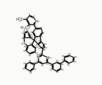 Cc1ccnc(-c2ccc3c(c2)C2(c4ccccc4Sc4ccccc42)c2cc(-c4nc(-c5ccccc5)cc(-c5cccc(-c6ccccc6)c5)n4)ccc2-3)c1C